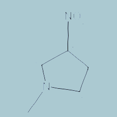 CN1C[CH]C([N+](=O)[O-])C1